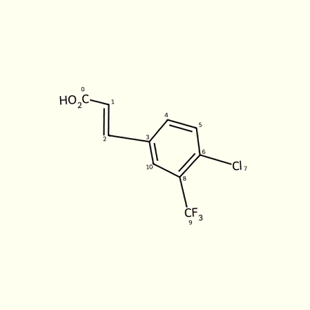 O=C(O)/C=C/c1ccc(Cl)c(C(F)(F)F)c1